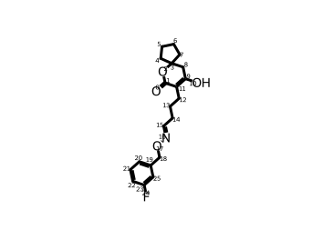 O=C1OC2(CCCC2)CC(O)=C1CCCC=NOCc1cccc(F)c1